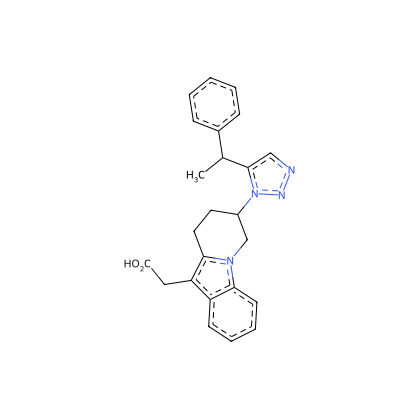 CC(c1ccccc1)c1cnnn1C1CCc2c(CC(=O)O)c3ccccc3n2C1